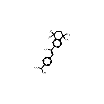 CC(=Cc1ccc(C(C)O)cc1)c1ccc2c(c1)C(C)(C)CCC2(C)C